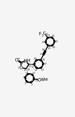 COc1cccc([C@@H]2OC(=O)N[C@H]2c2cccc(C#Cc3cccc(C(F)(F)F)c3)c2)c1